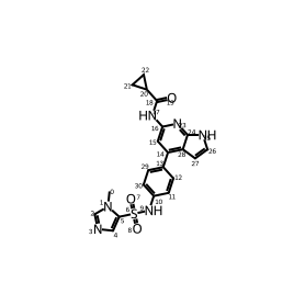 Cn1cncc1S(=O)(=O)Nc1ccc(-c2cc(NC(=O)C3CC3)nc3[nH]ccc23)cc1